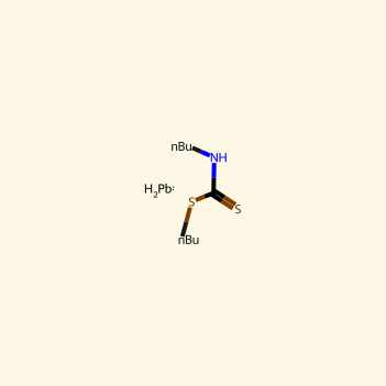 CCCCNC(=S)SCCCC.[PbH2]